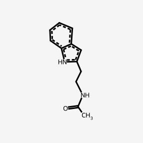 CC(=O)NCCc1cc2ccccc2[nH]1